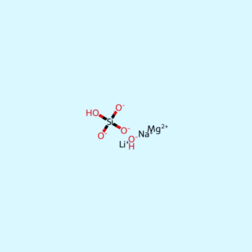 [Li+].[Mg+2].[Na+].[O-][Si]([O-])([O-])O.[OH-]